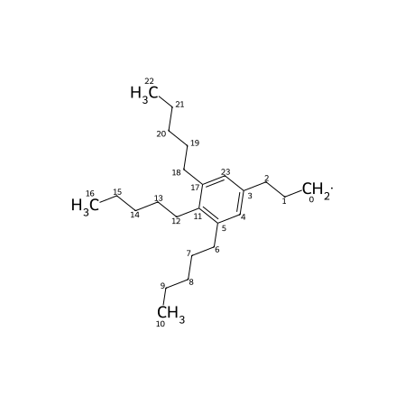 [CH2]CCc1cc(CCCCC)c(CCCCC)c(CCCCC)c1